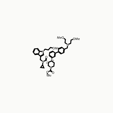 COCCCn1cc(CN(C(=O)[C@H]2CN(C(=O)OC(C)(C)C)CC[C@@H]2c2cccc(-c3ccc(CN(CCOC)CCOC)cc3)c2)C2CC2)c2ccccc21